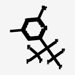 Cc1[c]c(Br)nc(C(F)(C(F)(F)F)C(F)(F)F)c1